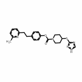 Cc1cccc(CCc2ccc(OC(=O)N3CCC(Sc4nc[nH]n4)CC3)cc2)n1